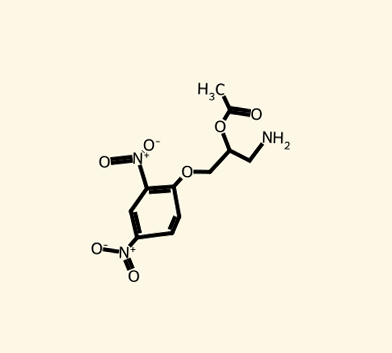 CC(=O)OC(CN)COc1ccc([N+](=O)[O-])cc1[N+](=O)[O-]